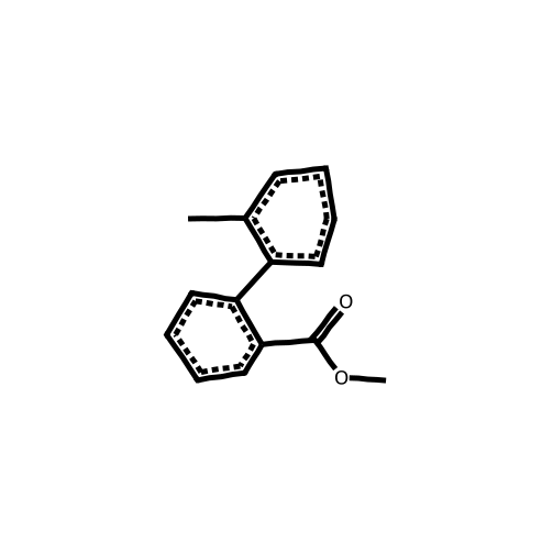 COC(=O)c1ccccc1-c1ccccc1C